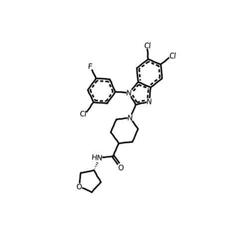 O=C(N[C@@H]1CCOC1)C1CCN(c2nc3cc(Cl)c(Cl)cc3n2-c2cc(F)cc(Cl)c2)CC1